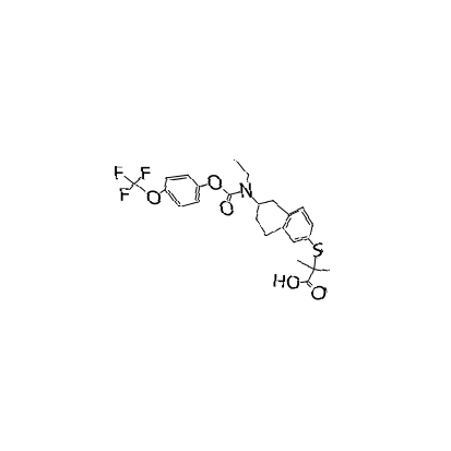 CCN(C(=O)Oc1ccc(OC(F)(F)F)cc1)C1CCc2cc(SC(C)(C)C(=O)O)ccc2C1